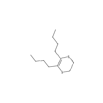 CCCCC1=C(CCCC)SCCS1